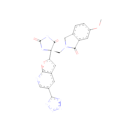 COc1ccc2c(c1)C(=O)N(C[C@@]1(c3cc4cc(-c5nnn[nH]5)cnc4o3)NC(=O)NC1=O)C2